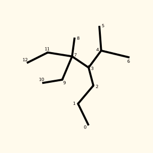 CCC[C](C(C)C)C(C)(CC)CC